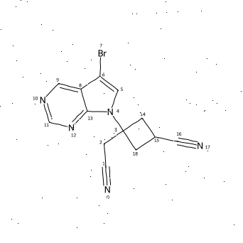 N#CCC1(n2cc(Br)c3cncnc32)CC(C#N)C1